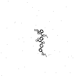 CN(Cc1ccccc1B(O)O)C1=CC2OC(=O)C=C(C(=O)N3CCC(c4cccc(CN)c4)CC3)C2C=C1